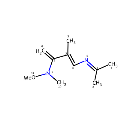 C=C(/C(C)=C/N=C(C)C)N(C)OC